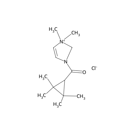 CC1(C)C(C(=O)N2C=C[N+](C)(C)C2)C1(C)C.[Cl-]